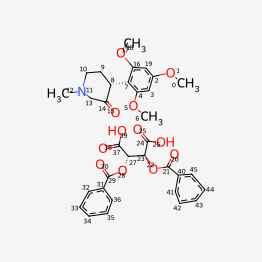 COc1cc(OC)c([C@H]2CCN(C)CC2=O)c(OC)c1.O=C(O[C@H](C(=O)O)[C@H](OC(=O)c1ccccc1)C(=O)O)c1ccccc1